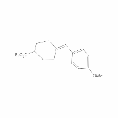 CCOC(=O)C1CCC(=Cc2ccc(OC)cc2)CC1